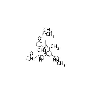 Cc1ccc(OCCN(C)C)cc1C(=O)N[C@H](C)c1cc(-c2cnn(CCN3CCCC3=O)c2)cc(-c2ccn(C)n2)c1